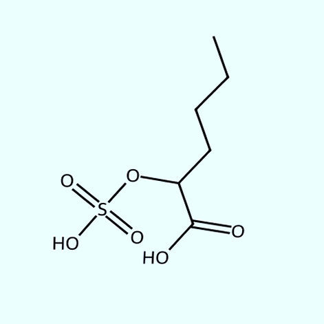 CCCCC(OS(=O)(=O)O)C(=O)O